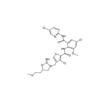 COCCC1CN(Cc2csc(C(=O)Nc3c(OC)cc(Cl)cc3C(=O)Nc3ccc(Cl)cn3)c2Cl)C(=N)O1